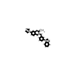 CC1Cc2cc(-n3ccnc3)ccc2CN1Cc1cccc(-n2cnc3ccccc32)c1